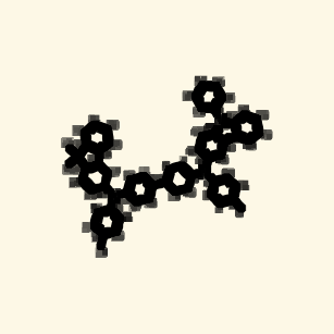 Cc1ccc(N(C2=CC=C(c3ccc(N(c4ccc(C)cc4)C4C=CC5=C(C4)c4ccccc4C5(C)C)cc3)CC2)c2ccc3c(c2)c2ccccc2n3-c2ccccc2)cc1